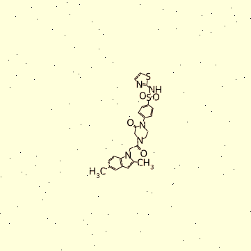 Cc1ccc2c(c1)cc(C)n2CC(=O)N1CCN(c2ccc(S(=O)(=O)Nc3nccs3)cc2)C(=O)C1